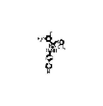 CC1CCCN1Cc1sc(NC(=O)c2cnc(N3CCNCC3)cn2)nc1-c1cc(F)cc(C(F)(F)F)c1